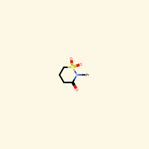 CC(C)N1C(=O)CCCS1(=O)=O